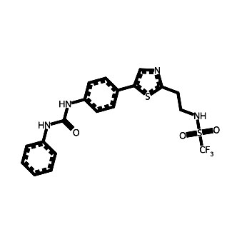 O=C(Nc1ccccc1)Nc1ccc(-c2cnc(CCNS(=O)(=O)C(F)(F)F)s2)cc1